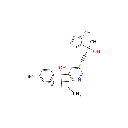 CC(C)c1ccc([C@](O)(c2cncc(C#CC(C)(O)c3cccn3C)c2)C2(C)CN(C)C2)cc1